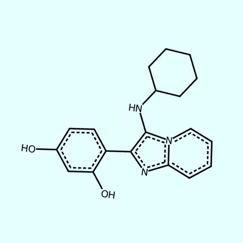 Oc1ccc(-c2nc3ccccn3c2NC2CCCCC2)c(O)c1